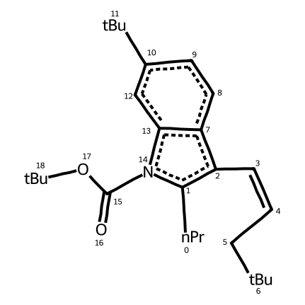 CCCc1c(/C=C\CC(C)(C)C)c2ccc(C(C)(C)C)cc2n1C(=O)OC(C)(C)C